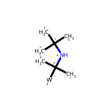 CC(C)(C)N[C](C)(C)[W]